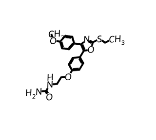 CCSc1nc(-c2ccc(OC)cc2)c(-c2ccc(OCCNC(N)=O)cc2)o1